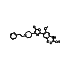 COc1cc(NC(=O)O)c(Cl)cc1-c1nn(C2CCN(CCc3ccccc3)CC2)c(=O)o1